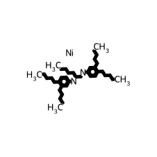 CCCCCC(/C=N/c1ccc(CCCCC)c(CCCCC)c1)=N\c1ccc(CCCCC)c(CCCCC)c1.[Ni]